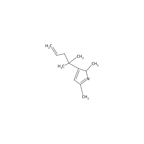 C=CCC(C)(C)C1=CC(C)=NC1C